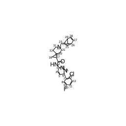 O=C(Nc1ccc(-c2cc(F)ccc2Cl)nn1)C1CC12CCN(CC1CC3C=CC1C3)CC2